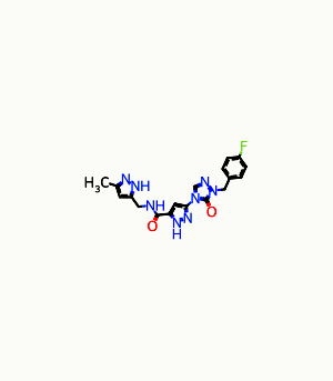 Cc1cc(CNC(=O)c2cc(-n3cnn(Cc4ccc(F)cc4)c3=O)n[nH]2)[nH]n1